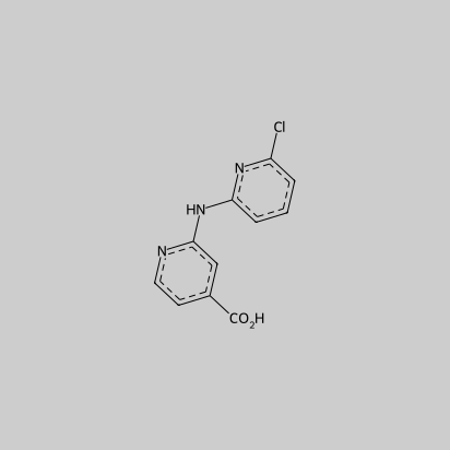 O=C(O)c1ccnc(Nc2cccc(Cl)n2)c1